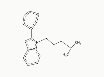 CC(C)CCCn1c(-c2ccccc2)cc2ccccc21